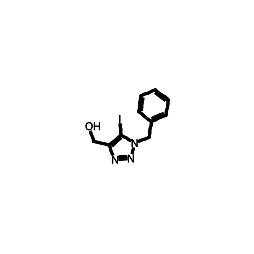 OCc1nnn(Cc2ccccc2)c1I